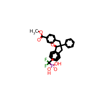 COC(=O)c1ccc(CC(Cc2ccc(C(F)(F)P(=O)(O)O)cc2)(C(=O)c2ccccc2)c2ccccc2)cc1